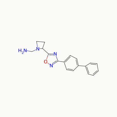 NCN1CCC1c1nc(-c2ccc(-c3ccccc3)cc2)no1